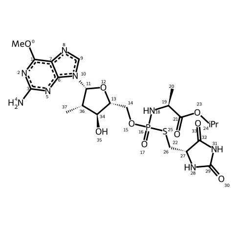 COc1nc(N)nc2c1ncn2[C@@H]1O[C@H](COP(=O)(N[C@@H](C)C(=O)OC(C)C)SC[C@H]2NC(=O)NC2=O)[C@@H](O)[C@@H]1C